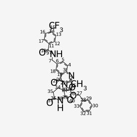 Cc1nc2ccc(CNC(=O)c3ccc(C(F)(F)F)cc3)cc2c(=O)n1[C@@]1(C(=O)OCc2ccccc2)CCC(=O)NC1=O